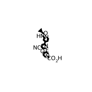 N#Cc1cc(-c2ccnc(NC(=O)C3CC3)c2)ncc1O[C@H]1CCN(C(=O)O)C[C@H]1F